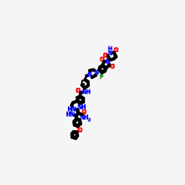 N=C(/C(C(N)=O)=C1\NCCc2cc(C(=O)N[C@H]3CC[C@H](CN4CCN(c5cc6c(cc5F)C(=O)N(C5CCC(=O)NC5=O)C6=O)CC4)CC3)ccc2N1)c1ccc(Oc2ccccc2)cc1